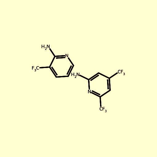 Nc1cc(C(F)(F)F)cc(C(F)(F)F)n1.Nc1ncccc1C(F)(F)F